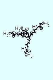 C=CC(=O)NCCCOCC(CNC(=O)C=C)(COCCCNC(=O)C=C)COCCCNC(=O)C=C